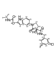 CC(C)NC(=O)Oc1cc2cc(N3CC[C@](O)(C(=O)NCc4cc(F)cc(Cl)c4)C3=O)ccc2[nH]1